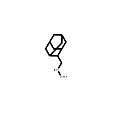 CNNCC1C2CC3CC(C2)CC1C3